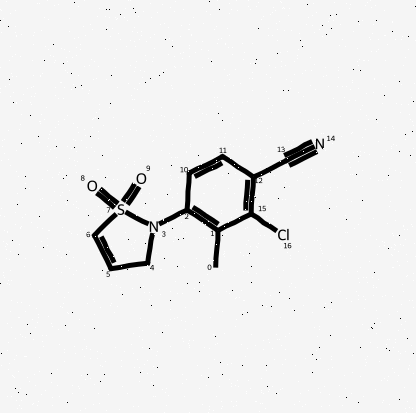 Cc1c(N2CC=CS2(=O)=O)ccc(C#N)c1Cl